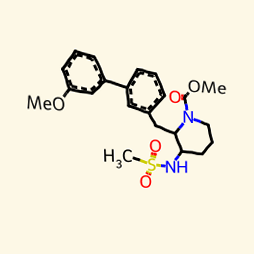 COC(=O)N1CCCC(NS(C)(=O)=O)C1Cc1cccc(-c2cccc(OC)c2)c1